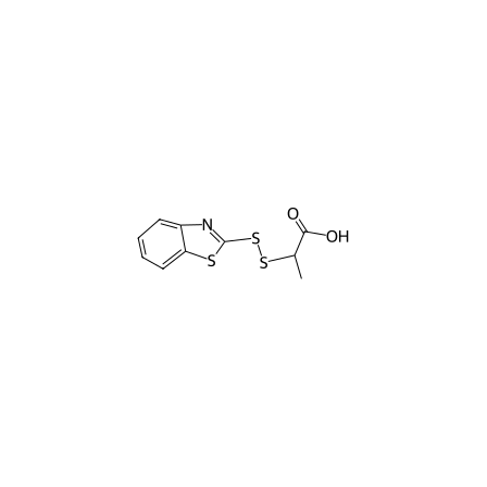 CC(SSc1nc2ccccc2s1)C(=O)O